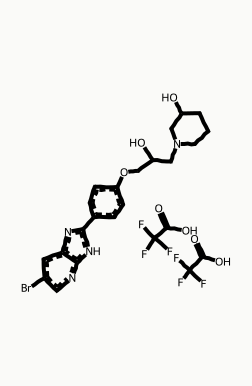 O=C(O)C(F)(F)F.O=C(O)C(F)(F)F.OC1CCCN(CC(O)COc2ccc(-c3nc4cc(Br)cnc4[nH]3)cc2)C1